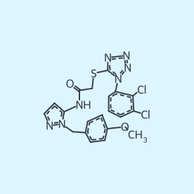 COc1ccc(Cn2nccc2NC(=O)CSc2nnnn2-c2cccc(Cl)c2Cl)cc1